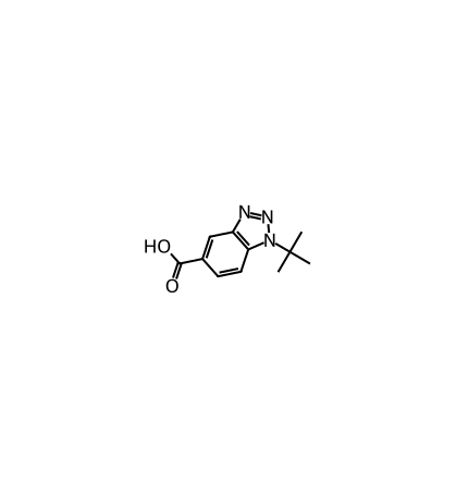 CC(C)(C)n1nnc2cc(C(=O)O)ccc21